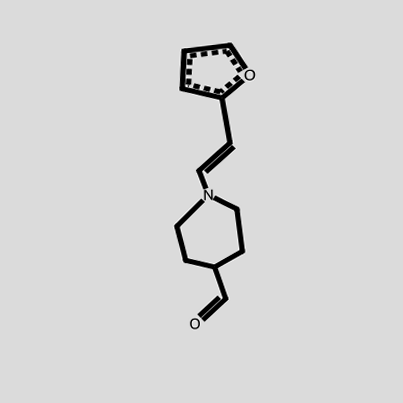 O=CC1CCN(C=Cc2ccco2)CC1